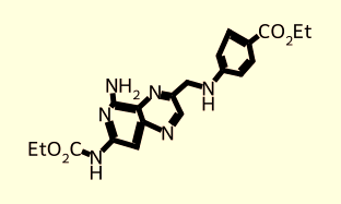 CCOC(=O)Nc1cc2ncc(CNc3ccc(C(=O)OCC)cc3)nc2c(N)n1